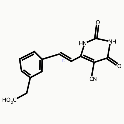 N#Cc1c(/C=C/c2cccc(CC(=O)O)c2)[nH]c(=O)[nH]c1=O